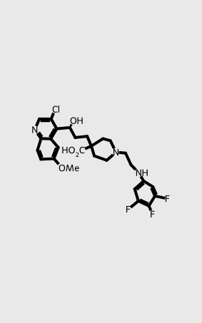 COc1ccc2ncc(Cl)c([C@@H](O)CCC3(C(=O)O)CCN(CCNc4cc(F)c(F)c(F)c4)CC3)c2c1